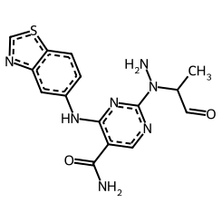 CC(C=O)N(N)c1ncc(C(N)=O)c(Nc2ccc3scnc3c2)n1